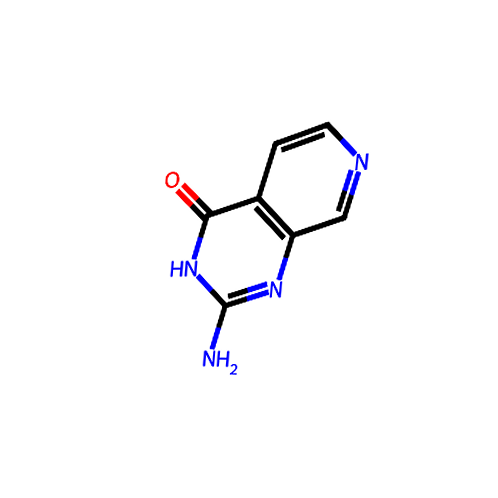 Nc1nc2cnccc2c(=O)[nH]1